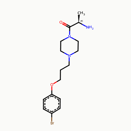 C[C@@H](N)C(=O)N1CCN(CCCOc2ccc(Br)cc2)CC1